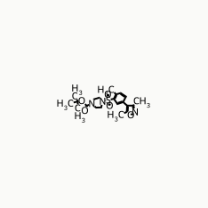 Cc1ccc(-c2c(C)noc2C)cc1S(=O)(=O)N1CCN(C(=O)OC(C)(C)C)CC1